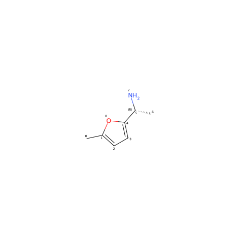 Cc1ccc([C@@H](C)N)o1